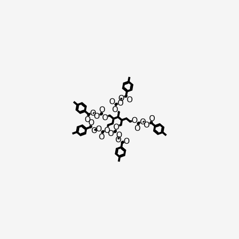 Cc1ccc(C(=O)OOC(=O)OCCC(COC(=O)OOC(=O)c2ccc(C)cc2)C(COC(=O)OOC(=O)c2ccc(C)cc2)C(CCOC(=O)OOC(=O)c2ccc(C)cc2)COC(=O)OOC(=O)c2ccc(C)cc2)cc1